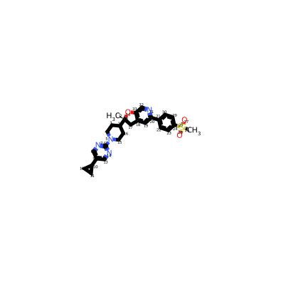 C[C@@]1(C2CCN(c3ncc(C4CC4)cn3)CC2)Cc2cc(-c3ccc(S(C)(=O)=O)cc3)ncc2O1